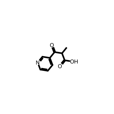 CC(C(=O)O)C(=O)c1cccnc1